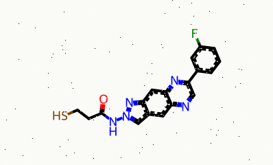 O=C(CCS)Nn1cc2cc3ncc(-c4cccc(F)c4)nc3cc2n1